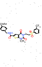 COc1ccc(CNC(=O)c2cc3c(=O)n(CCS(=O)(=O)c4cccc(C(F)(F)F)c4)c(=O)n(C)c3s2)cc1